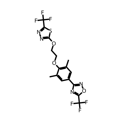 Cc1cc(-c2noc(C(F)(F)F)n2)cc(C)c1OCCOc1nnc(C(F)(F)F)s1